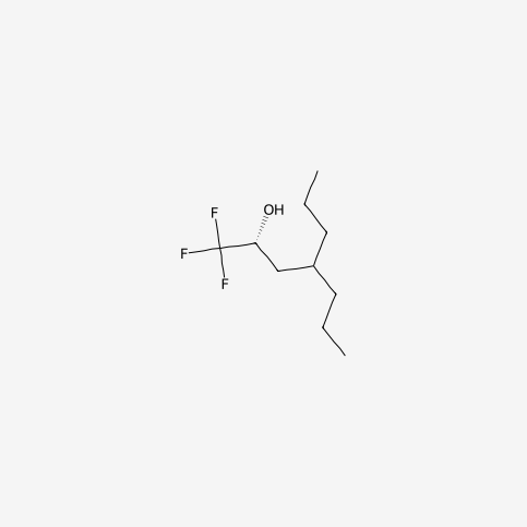 CCCC(CCC)C[C@@H](O)C(F)(F)F